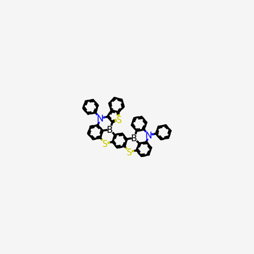 c1ccc(N2c3ccccc3B3c4cc5c(cc4Sc4cccc2c43)Sc2cccc3c2B5c2sc4ccccc4c2N3c2ccccc2)cc1